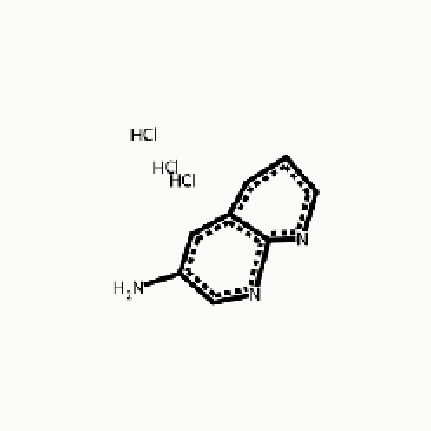 Cl.Cl.Cl.Nc1cnc2ncccc2c1